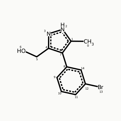 Cc1[nH]nc(CO)c1-c1cccc(Br)c1